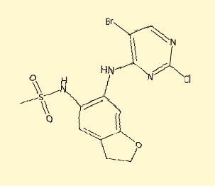 CS(=O)(=O)Nc1cc2c(cc1Nc1nc(Cl)ncc1Br)OCC2